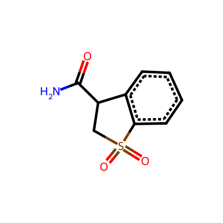 NC(=O)C1CS(=O)(=O)c2ccccc21